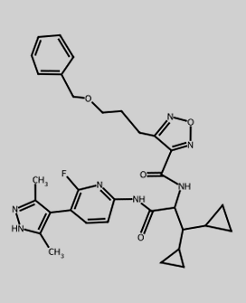 Cc1n[nH]c(C)c1-c1ccc(NC(=O)C(NC(=O)c2nonc2CCCOCc2ccccc2)C(C2CC2)C2CC2)nc1F